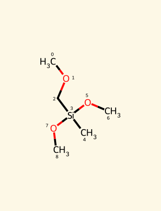 COC[Si](C)(OC)OC